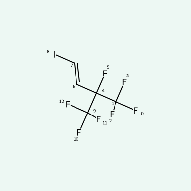 FC(F)(F)C(F)(C=CI)C(F)(F)F